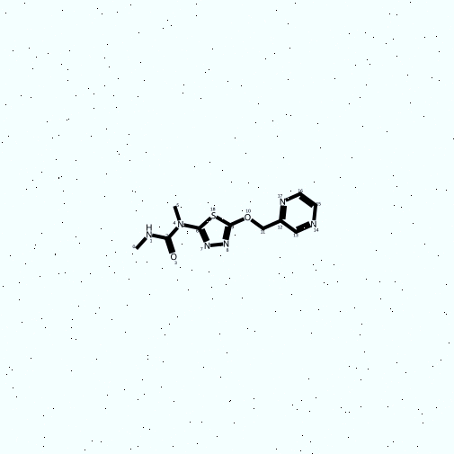 CNC(=O)N(C)c1nnc(OCc2cnccn2)s1